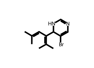 CC(C)=CC(=C(C)C)C1NC=NC=C1Br